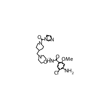 COc1cc(N)c(Cl)cc1C(=O)NC[C@H]1CN(CC2CCN(C(=O)n3ccnc3)CC2)CCO1